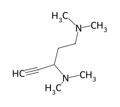 C#CC(CCN(C)C)N(C)C